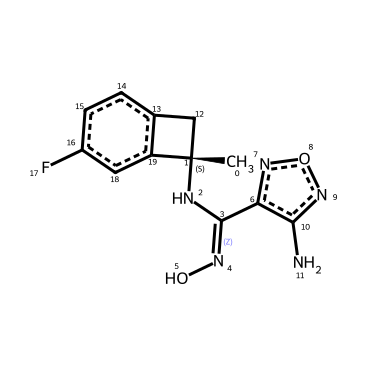 C[C@]1(N/C(=N\O)c2nonc2N)Cc2ccc(F)cc21